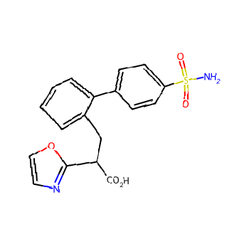 NS(=O)(=O)c1ccc(-c2ccccc2CC(C(=O)O)c2ncco2)cc1